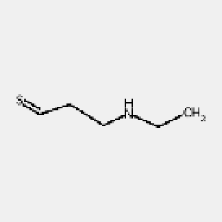 CCNCCC=S